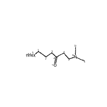 CCCCCCCCCC(=O)CCN(C)C